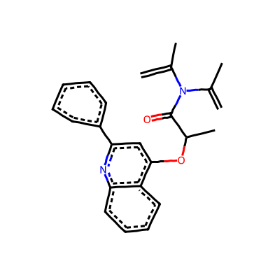 C=C(C)N(C(=C)C)C(=O)C(C)Oc1cc(-c2ccccc2)nc2ccccc12